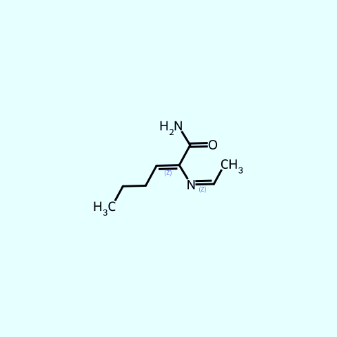 C/C=N\C(=C/CCC)C(N)=O